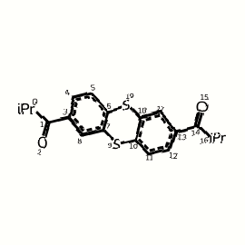 CC(C)C(=O)c1ccc2c(c1)Sc1ccc(C(=O)C(C)C)cc1S2